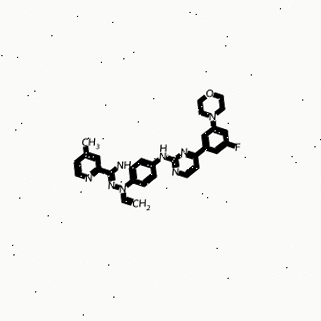 C=CN(/N=C(\N)c1cc(C)ccn1)c1ccc(Nc2nccc(-c3cc(F)cc(N4CCOCC4)c3)n2)cc1